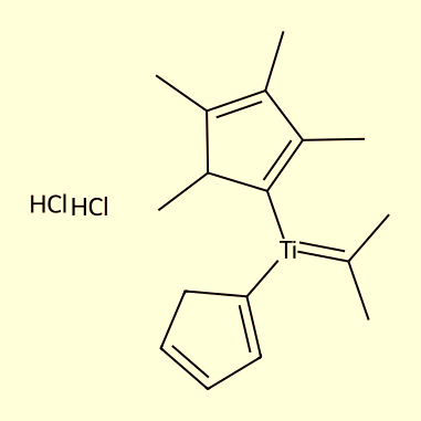 CC1=C(C)C(C)[C]([Ti]([C]2=CC=CC2)=[C](C)C)=C1C.Cl.Cl